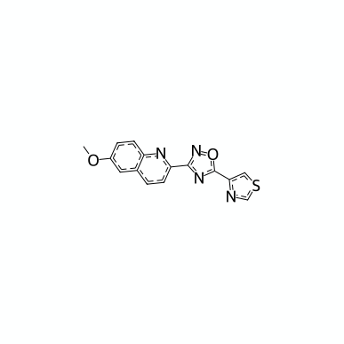 COc1ccc2nc(-c3noc(-c4cscn4)n3)ccc2c1